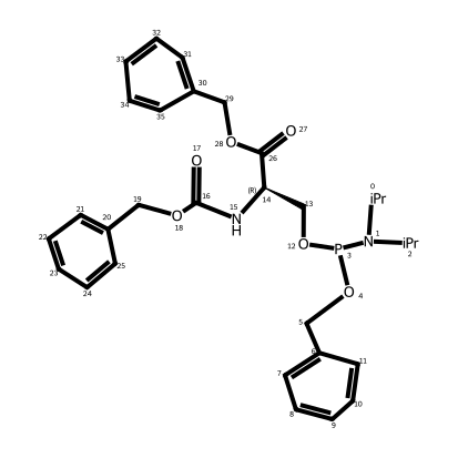 CC(C)N(C(C)C)P(OCc1ccccc1)OC[C@@H](NC(=O)OCc1ccccc1)C(=O)OCc1ccccc1